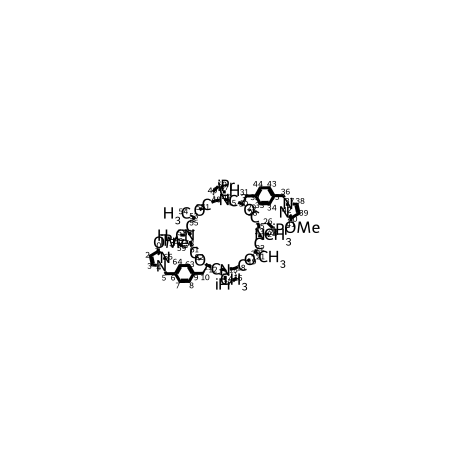 COc1ccn(Cc2ccc(C[C@@H]3CN(C)[C@@H](CC(C)C)CO[C@H](C)CN(C)[C@@H](CC(C)C)CO[C@H](Cc4ccc(Cn5ccc(OC)n5)cc4)CN(C)[C@@H](CC(C)C)CO[C@H](C)CN(C)[C@@H](CC(C)C)CO3)cc2)n1